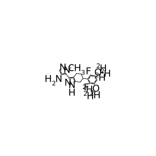 [2H]C([2H])([2H])Oc1cc(OC([2H])([2H])[2H])c(F)c(C2CCc3c(-c4c(N)cnn4C)n[nH]c3C2)c1F